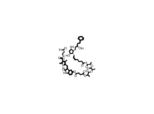 CCN(CC)CCNC(=O)c1c(C)[nH]c(/C=C2\C(=O)Nc3ccc(OC(=O)CCC(=O)OC(C)C(=O)OC(C)C(=O)OC(C)C(=O)OC(=O)CCC/C=C\C[C@H]4[C@H](CC[C@H](O)CCc5ccccc5)[C@@H](O)C[C@H]4O)cc32)c1C